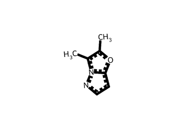 Cc1oc2ccnn2c1C